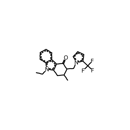 CCn1c2c(c3ccccc31)C(=O)C(Cn1cccc1C(F)(F)F)C(C)C2